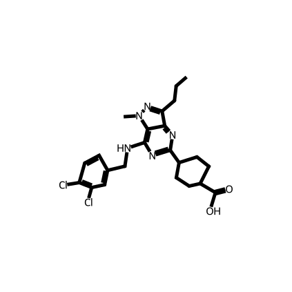 CCCc1nn(C)c2c(NCc3ccc(Cl)c(Cl)c3)nc(C3CCC(C(=O)O)CC3)nc12